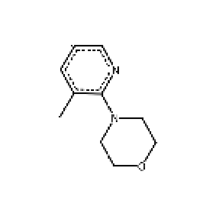 Cc1c[c]cnc1N1CCOCC1